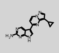 Nc1ncc2c(-c3ccn4ncc(C5CC5)c4n3)c[nH]c2n1